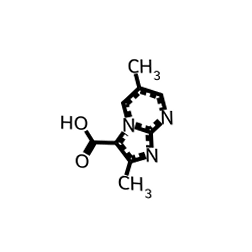 Cc1cnc2nc(C)c(C(=O)O)n2c1